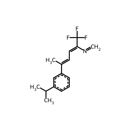 C=N/C(=C\C=C(/C)c1cccc(C(C)C)c1)C(F)(F)F